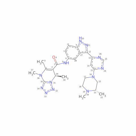 CC1=C(C(=O)Nc2ccc3[nH]nc(-c4cc(N5CCN(C)[C@@H](C)C5)ncn4)c3c2)[C@@H](C)n2nnnc2N1C